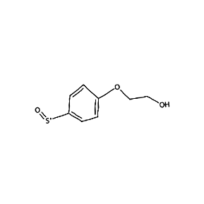 O=[S+]c1ccc(OCCO)cc1